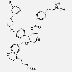 COCCCN1CCOc2ccc(COC3CNCC(OC(=O)Cc4ccc(CON(O)O)cc4)C3c3ccc(OC4CCN(c5cccc(F)c5)C4)cc3)cc21